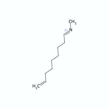 C=CCCCCCC/C=N/C